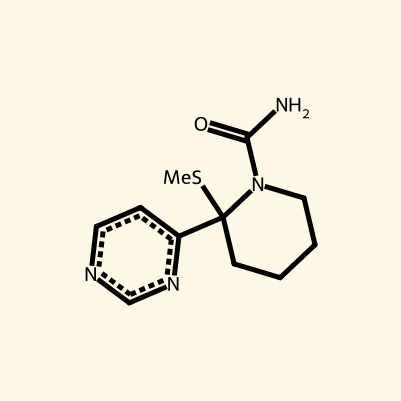 CSC1(c2ccncn2)CCCCN1C(N)=O